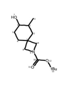 CC1CC2(CCC1O)CN(C(=O)OC(C)(C)C)C2